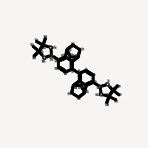 CC1(C)OB(c2ccc(-c3ccc(B4OC(C)(C)C(C)(C)O4)c4c3C3CCC4C3)c3c2C2CCC3C2)OC1(C)C